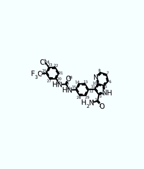 NC(=O)c1[nH]c2cccnc2c1-c1ccc(NC(=O)Nc2ccc(Cl)c(C(F)(F)F)c2)cc1